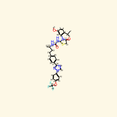 COc1ccc(C(C)C)c(N2C(=O)CSC2NC(=O)NC(C)CCc2ccc(-c3ncn(-c4ccc(OC(F)(F)F)cc4)n3)cc2)c1